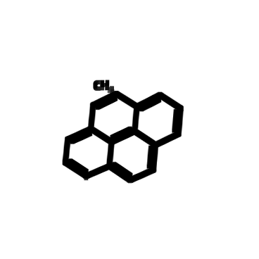 C.[c]1ccc2ccc3cccc4ccc1c2c43